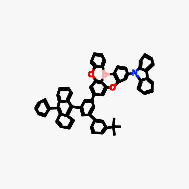 CC(C)(C)c1cccc(-c2cc(-c3cc4c5c(c3)Oc3cc(-n6c7ccccc7c7ccccc76)ccc3B5c3ccccc3O4)cc(-c3c4ccccc4c(-c4ccccc4)c4ccccc34)c2)c1